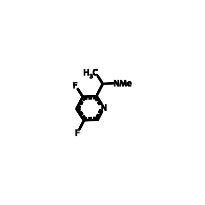 CNC(C)c1ncc(F)cc1F